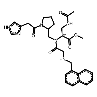 COC(=O)[C@H](CNC(C)=O)N(CC1CCCN1C(=O)Cc1c[nH]cn1)C(=O)CNCc1cccc2ccccc12